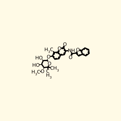 CO[C@@H]1[C@@H](O)[C@@H](O)[C@H](Oc2ccc3cc(NC(=O)c4cc5ccccc5o4)c(=O)oc3c2C)OC1(C)C